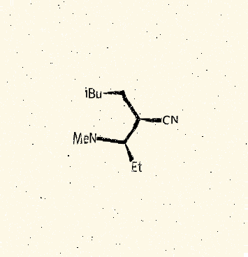 CC[C@H](C)C[C@@H](C#N)[C@@H](CC)NC